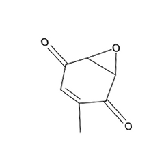 CC1=CC(=O)C2OC2C1=O